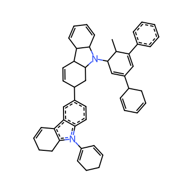 CC1C(c2ccccc2)=CC(C2C=CC=CC2)=CC1N1C2C=CC=CC2C2C=CC(c3ccc4c(c3)c3c(n4C4=CCCC=C4)CCC=C3)CC21